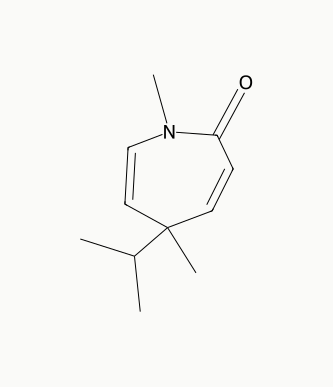 CC(C)C1(C)C=CC(=O)N(C)C=C1